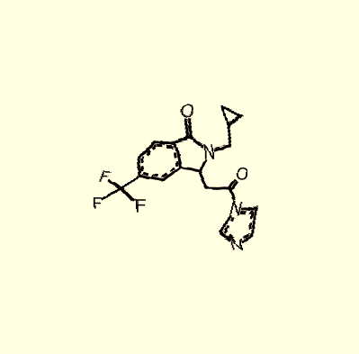 O=C1c2ccc(C(F)(F)F)cc2C(CC(=O)n2ccnc2)N1CC1CC1